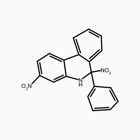 O=[N+]([O-])c1ccc2c(c1)NC(c1ccccc1)([N+](=O)[O-])c1ccccc1-2